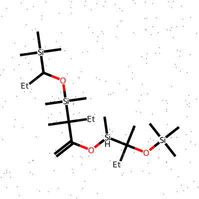 C=C(O[SiH](C)C(C)(CC)O[Si](C)(C)C)C(C)(CC)[Si](C)(C)OC(CC)[Si](C)(C)C